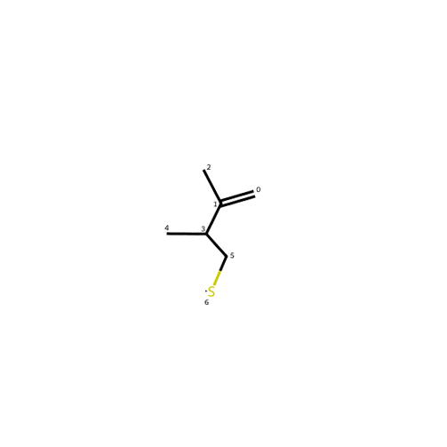 C=C(C)C(C)C[S]